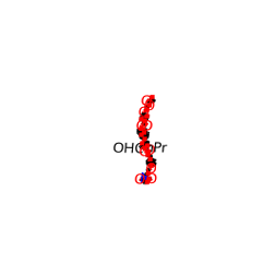 C=C(C)C(=O)OCCOC1CCC(C(=O)Oc2ccc3cc(-c4cc(C=O)c(OC(=O)CCc5ccc(OCCCN6C(=O)C=CC6=O)c(C)c5)c(CCC)c4)ccc3c2)CC1